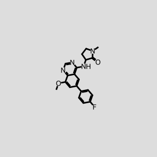 COc1cc(-c2ccc(F)cc2)cc2c(NC3CCN(C)C3=O)ncnc12